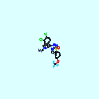 CN=[S@@](=O)(NC(CN(C)C)c1ccc(Cl)c(Cl)c1)c1ccc(OC(F)(F)F)cc1